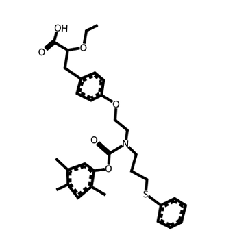 CCOC(Cc1ccc(OCCN(CCCSc2ccccc2)C(=O)Oc2cc(C)c(C)cc2C)cc1)C(=O)O